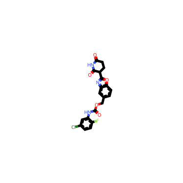 O=C1CCC(c2nc3cc(COC(=O)Nc4cc(Cl)ccc4F)ccc3o2)C(=O)N1